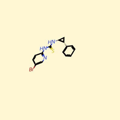 S=C(Nc1ccc(Br)cn1)N[C@@H]1C[C@@H]1c1ccccc1